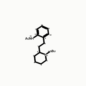 CCCCN1CCCCC1CCc1ccccc1NC(C)=O